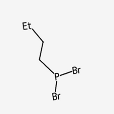 CCCCP(Br)Br